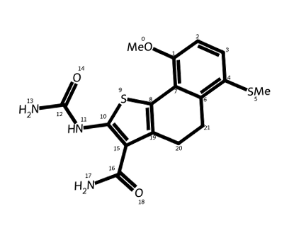 COc1ccc(SC)c2c1-c1sc(NC(N)=O)c(C(N)=O)c1CC2